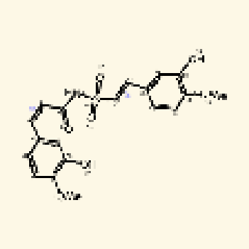 COc1ccc(/C=C\C(=O)NS(=O)(=O)/C=C/c2ccc(OC)c(O)c2)cc1O